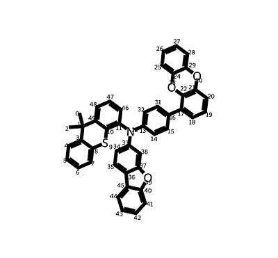 CC1(C)c2ccccc2Sc2c(N(c3ccc(-c4cccc5c4Oc4ccccc4O5)cc3)c3ccc4c(c3)oc3ccccc34)cccc21